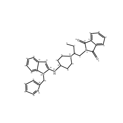 CCC(CN1C(=O)c2ccccc2C1=O)N1CCC(Nc2nc3ccccc3n2Cc2ccccn2)CC1